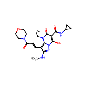 CC(C)(C)Cn1c(=O)c(C(=O)NC2CC2)c(O)n2nc(NC(=O)O)c(C=CC(=O)N3CCOCC3)c12